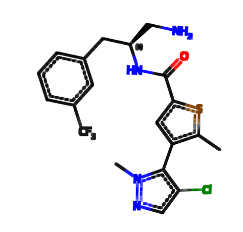 Cc1sc(C(=O)N[C@H](CN)Cc2cccc(C(F)(F)F)c2)cc1-c1c(Cl)cnn1C